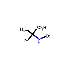 CCNC(C)(C(C)C)S(=O)(=O)O